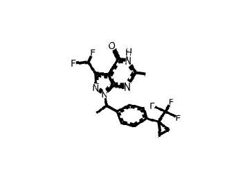 Cc1nc2c(c(C(F)F)nn2C(C)c2ccc(C3(C(F)(F)F)CC3)cc2)c(=O)[nH]1